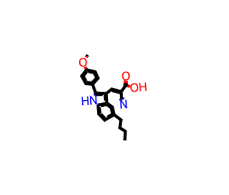 CCCCc1ccc2[nH]c(-c3ccc(OC)cc3)c(C=C(C#N)C(=O)O)c2c1